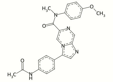 COc1ccc(N(C)C(=O)c2cn3c(-c4ccc(NC(C)=O)cc4)cnc3cn2)cc1